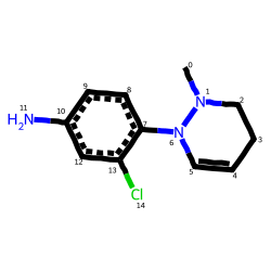 CN1CCC=CN1c1ccc(N)cc1Cl